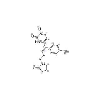 CC(C)(C)c1ccc(/C(=C\CCN2CCCC2=O)c2ccc(Cl)c(=O)[nH]2)cc1